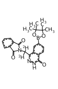 [2H]C([2H])(c1n[nH]c(=O)c2ccc(B3OC(C)(C)C(C)(C)O3)cc12)N1C(=O)c2ccccc2C1=O